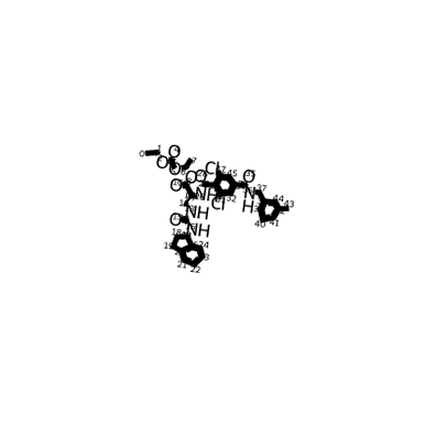 CCOC(=O)OC(C)OC(=O)[C@H](CNC(=O)N[C@@H]1CCc2ccccc21)NC(=O)c1c(Cl)cc(C(=O)NCc2cccc(C)c2)cc1Cl